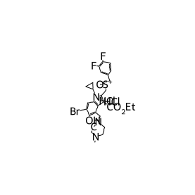 CCOC(=O)c1c(C[S+]([O-])Cc2ccc(F)c(F)c2)n(C2CC2)c2cc(Br)c(O)c(CN3CCN(C)CC3)c12.Cl.Cl